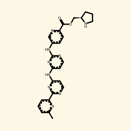 Cc1cccc(-c2nccc(Nc3ccnc(Nc4ccc(C(=O)OC[C@H]5CCCN5)nc4)n3)n2)n1